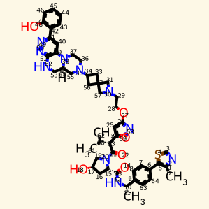 Cc1ncsc1-c1ccc([C@H](C)NC(=O)[C@@H]2C[C@@H](O)CN2C(=O)[C@@H](c2cc(OCCN3CC4(CC(N5CCN6c7cc(-c8ccccc8O)nnc7NC[C@@H]6C5)C4)C3)no2)C(C)C)cc1